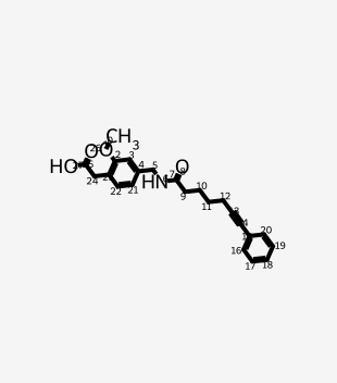 COc1cc(CNC(=O)CCCCC#Cc2ccccc2)ccc1CC(=O)O